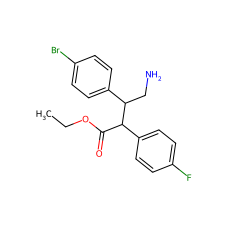 CCOC(=O)C(c1ccc(F)cc1)C(CN)c1ccc(Br)cc1